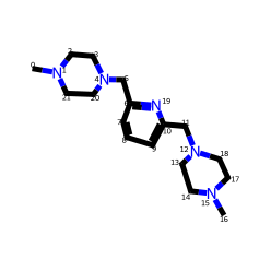 CN1CCN(Cc2cccc(CN3CCN(C)CC3)n2)CC1